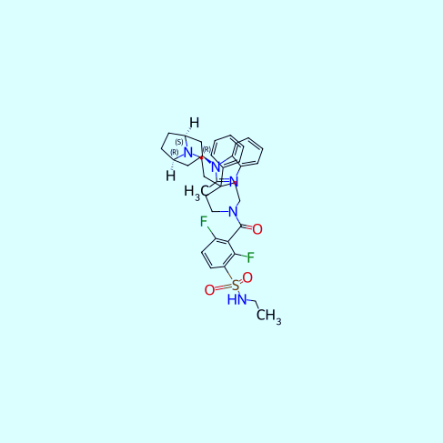 CCNS(=O)(=O)c1ccc(F)c(C(=O)N2CCC(CCN3[C@@H]4CC[C@H]3C[C@@H](n3c(C)nc5ccccc53)C4)(c3ccccc3)CC2)c1F